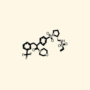 C=CS(=O)(=O)NC[C@H]1CCCN1S(=O)(=O)c1ccc(C(Cc2cccc(C(F)(F)F)c2)C(=O)N2CCOCC2)cc1